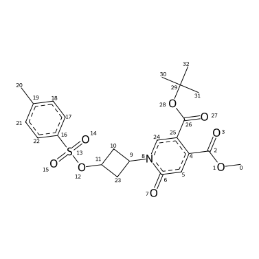 COC(=O)c1cc(=O)n(C2CC(OS(=O)(=O)c3ccc(C)cc3)C2)cc1C(=O)OC(C)(C)C